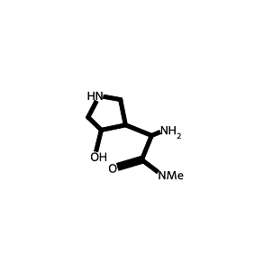 CNC(=O)C(N)C1CNCC1O